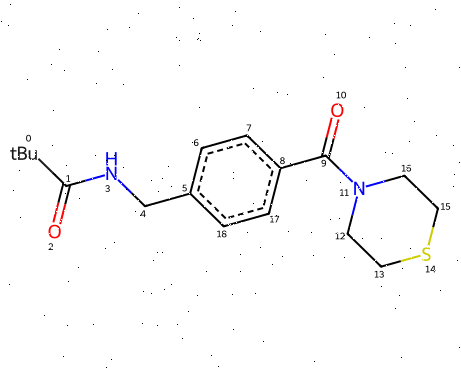 CC(C)(C)C(=O)NCc1ccc(C(=O)N2CCSCC2)cc1